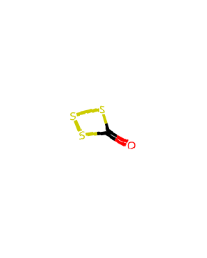 O=c1sss1